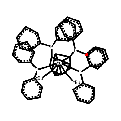 CC(C)(C)[C]12[CH]3[C]4(P(c5ccccc5)c5ccccc5)[C]5(P(c6ccccc6)c6ccccc6)[CH]1[Fe]32451678[CH]2[C]1(C(C)(C)C)[CH]6[C]7(P(c1ccccc1)c1ccccc1)[C]28P(c1ccccc1)c1ccccc1